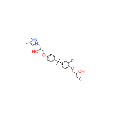 Cc1cn(C[C@H](O)COc2ccc(C(C)(C)c3ccc(OC[C@H](O)CCl)c(Cl)c3)cc2)nn1